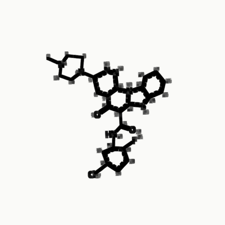 CN1CCN(c2cc3c(=O)c(C(=O)Nc4cc(Cl)ccc4F)c4sc5ccccc5n4c3nn2)CC1